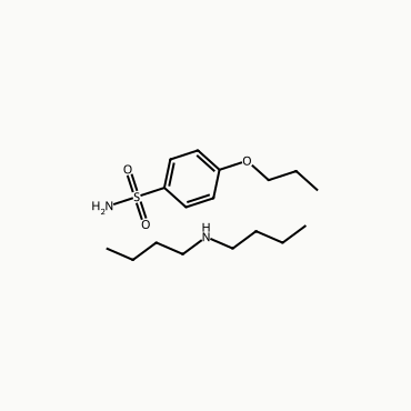 CCCCNCCCC.CCCOc1ccc(S(N)(=O)=O)cc1